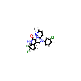 Cc1ccc(N(Cc2cc(=O)[nH]c3c(F)c(F)ccc23)c2cccc(Cl)c2)nn1